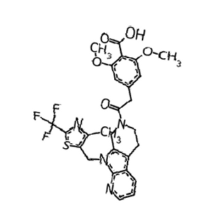 COc1cc(CC(=O)N2CCc3c(n(Cc4sc(C(F)(F)F)nc4C)c4ncccc34)C2)cc(OC)c1C(=O)O